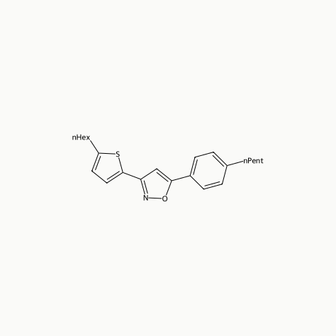 CCCCCCc1ccc(-c2cc(-c3ccc(CCCCC)cc3)on2)s1